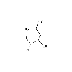 CCC1CNC(C=O)CC1O